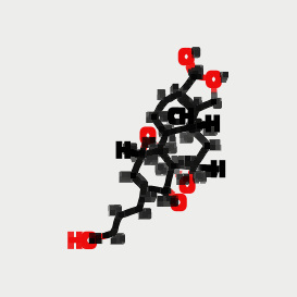 C[C@]12CCC3=C(COC3=O)[C@@H]1C[C@@H]1O[C@@]13C(=O)C(CCCO)=C[C@@H]1O[C@]123